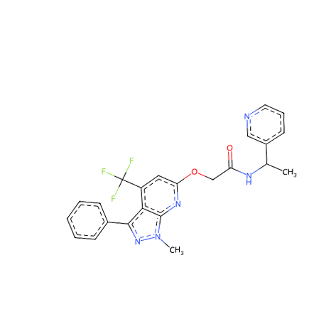 CC(NC(=O)COc1cc(C(F)(F)F)c2c(-c3ccccc3)nn(C)c2n1)c1cccnc1